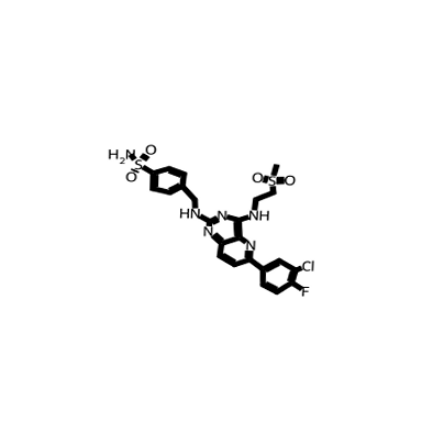 CS(=O)(=O)CCNc1nc(NCc2ccc(S(N)(=O)=O)cc2)nc2ccc(-c3ccc(F)c(Cl)c3)nc12